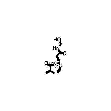 C=C(C)C(N)=O.C=CC(=O)NCO.C=CC(=O)O